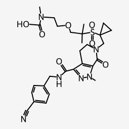 CN(CCOCC(C)(C)S(=O)(=O)C1(CN2CCc3c(C(=O)NCc4ccc(C#N)cc4)nn(C)c3C2=O)CC1)C(=O)O